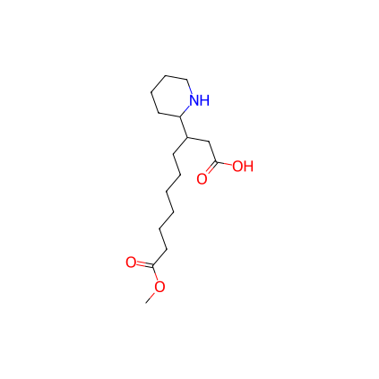 COC(=O)CCCCCCC(CC(=O)O)C1CCCCN1